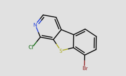 Clc1nccc2c1sc1c(Br)cccc12